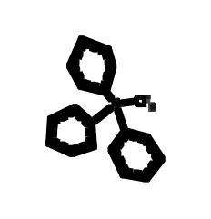 FC(F)(F)S(c1ccccc1)(c1ccccc1)c1ccccc1